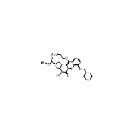 COCCOc1cc(C(=O)N(C(C)C)C2CCN(C(=O)OC(C)(C)C)C2)nc2c(OCC3CCCCC3)cccc12